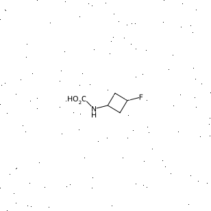 O=C(O)NC1CC(F)C1